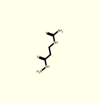 NNC(=O)CCNC(N)=S